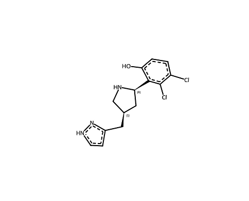 Oc1ccc(Cl)c(Cl)c1[C@H]1C[C@@H](Cc2cc[nH]n2)CN1